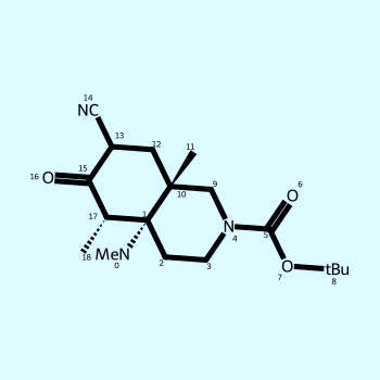 CN[C@@]12CCN(C(=O)OC(C)(C)C)C[C@@]1(C)CC(C#N)C(=O)[C@H]2C